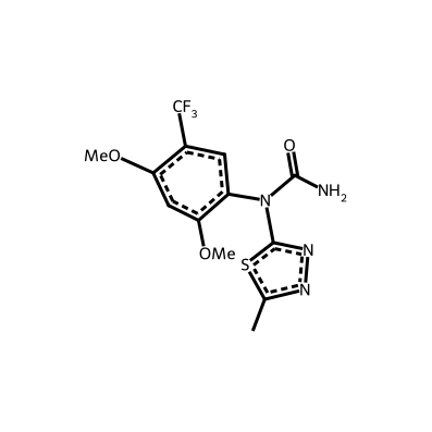 COc1cc(OC)c(C(F)(F)F)cc1N(C(N)=O)c1nnc(C)s1